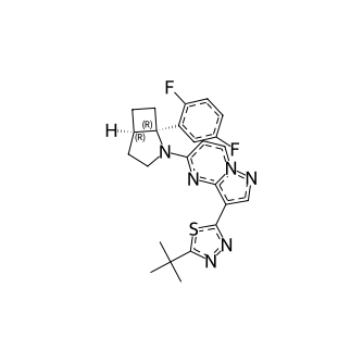 CC(C)(C)c1nnc(-c2cnn3ccc(N4CC[C@H]5CC[C@]54c4cc(F)ccc4F)nc23)s1